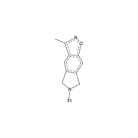 CCN1Cc2cc3onc(C)c3cc2C1